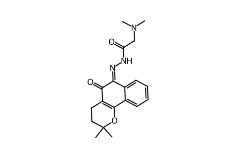 CN(C)CC(=O)N/N=C1/C(=O)C2=C(OC(C)(C)CC2)c2ccccc21